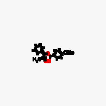 COc1ccc(COC(c2ccccc2)[C@H](C)O)cc1